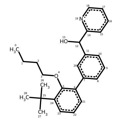 CCCCOc1c(-c2cccc(C(O)c3ccccn3)c2)cccc1C(C)(C)C